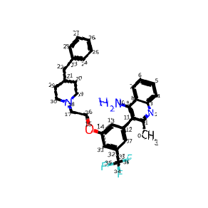 Cc1nc2ccccc2c(N)c1-c1cc(OCCN2CCC(Cc3ccccc3)CC2)cc(C(F)(F)F)c1